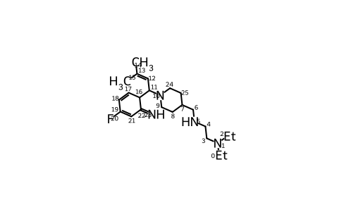 CCN(CC)CCNCC1CCN(C(C=C(C)C)C2C=CC(F)=CC2=N)CC1